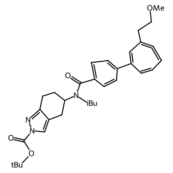 CCC(C)N(C(=O)c1ccc(C2=CC(CCOC)=C=CC=C2)cc1)C1CCc2nn(C(=O)OC(C)(C)C)cc2C1